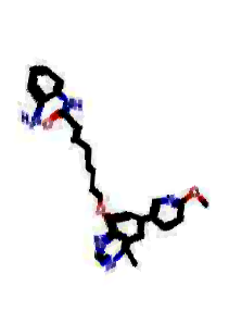 COc1ccc(-c2cc(OCCCCCCCC(=O)Nc3ccccc3N)c3ncnc(C)c3c2)cn1